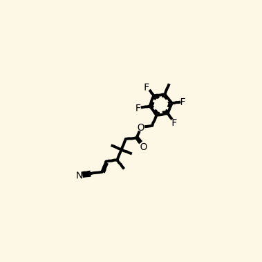 Cc1c(F)c(F)c(COC(=O)CC(C)(C)C(C)C=CC#N)c(F)c1F